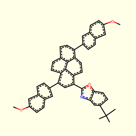 COc1ccc2cc(-c3ccc4ccc5c(-c6ccc7cc(OC)ccc7c6)cc(-c6nc7cc(C(C)(C)C)ccc7o6)c6ccc3c4c56)ccc2c1